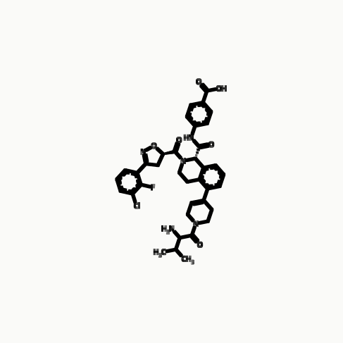 CC(C)C(N)C(=O)N1CC=C(c2cccc3c2CCN(C(=O)[C@H]2CC(c4cccc(Cl)c4F)=NO2)[C@@H]3C(=O)Nc2ccc(C(=O)O)cc2)CC1